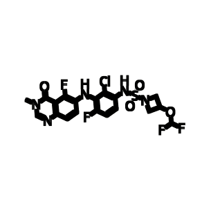 Cn1cnc2ccc(Nc3c(F)ccc(NS(=O)(=O)N4CC(OC(F)F)C4)c3Cl)c(F)c2c1=O